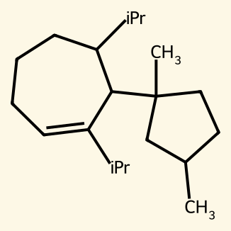 CC1CCC(C)(C2C(C(C)C)=CCCCC2C(C)C)C1